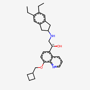 CCc1cc2c(cc1CC)CC(NC[C@@H](O)c1ccc(OCC3CCC3)c3ncccc13)C2